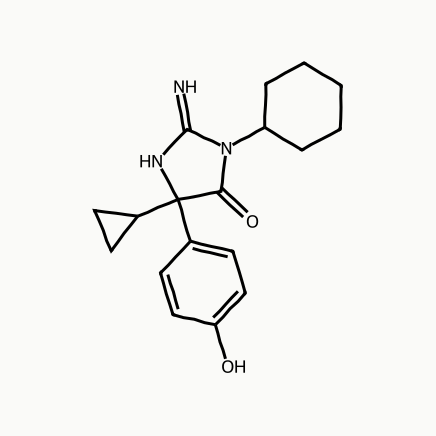 N=C1NC(c2ccc(O)cc2)(C2CC2)C(=O)N1C1CCCCC1